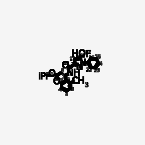 Cc1ccccc1[C@H](CC(=O)OC(C)C)NC(=O)c1cc(O)n(-c2ccccc2F)n1